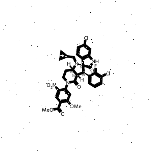 COC(=O)c1cc([N+](=O)[O-])c(N2CC[C@H]3[C@@H](C2=O)[C@H](c2cccc(Cl)c2F)[C@]2(C(=O)Nc4cc(Cl)ccc42)N3CC2CC2)cc1OC